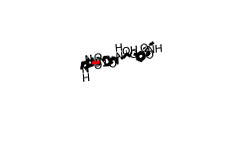 CCNS(=O)(=O)c1cccc(OC[C@@H](O)CN[C@H]2COC3(CCN(S(=O)(=O)c4cnc5cc[nH]c5c4)CC3)C2)c1